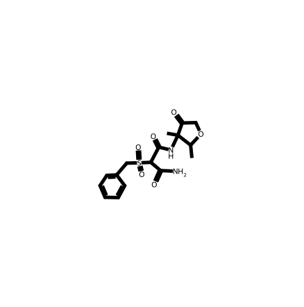 CC1OCC(=O)C1(C)NC(=O)C(C(N)=O)S(=O)(=O)Cc1ccccc1